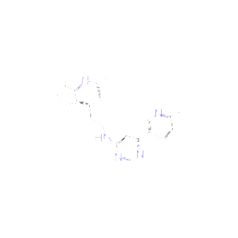 Cc1ccc(-c2cc(NCCc3cc(C)nc4c3OCC4)ncn2)cn1